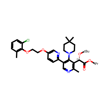 Cc1cccc(Cl)c1OCCOc1ccc(-c2cnc(C)c([C@H](OC(C)(C)C)C(=O)OC(C)C)c2N2CCC(C)(C)CC2)nc1